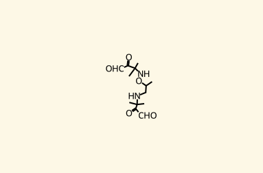 CC(CNC(C)(C)C(=O)C=O)ONC(C)(C)C(=O)C=O